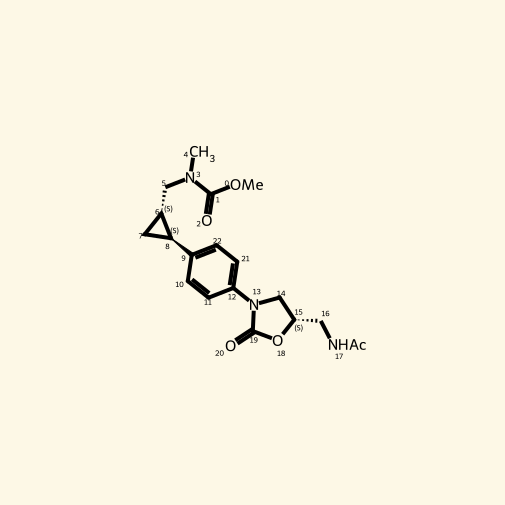 COC(=O)N(C)C[C@H]1C[C@@H]1c1ccc(N2C[C@H](CNC(C)=O)OC2=O)cc1